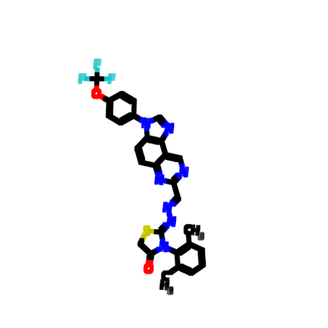 Cc1cccc(C)c1N1C(=O)CSC1=NN=Cc1ncc2c(ccc3c2ncn3-c2ccc(OC(F)(F)F)cc2)n1